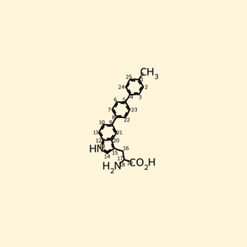 Cc1ccc(-c2ccc(-c3ccc4[nH]cc(CC(N)C(=O)O)c4c3)cc2)cc1